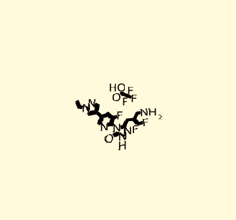 CCn1cc(-c2cnc(-n3c(CC(CN)=C(F)F)n[nH]c3=O)c(F)c2)cn1.O=C(O)C(F)(F)F